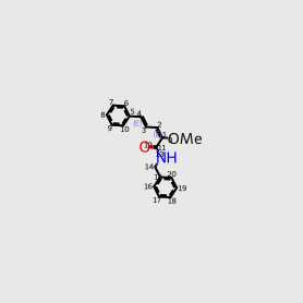 CO/C(=C/C=C/c1ccccc1)C(=O)NCc1ccccc1